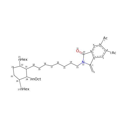 C=C1c2cc(C(C)=O)c(C(C)=O)cc2C(=O)N1CCCCCCCCC1C(CCCCCC)CCC(CCCCCC)C1CCCCCCCC